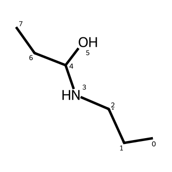 CC[CH]NC(O)CC